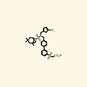 CC1(C)CC2CC(C)(CN2S(=O)(=O)N(CC2=CC=C(C(F)(F)F)C2)Cc2ccc(-c3cccc(S(=O)(=O)CC(=O)O)c3)cc2)C1